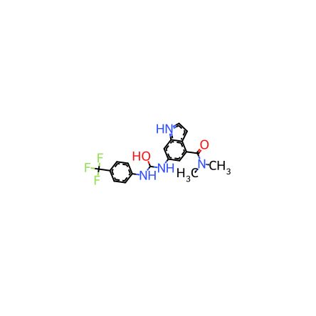 CN(C)C(=O)c1cc(NC(O)Nc2ccc(C(F)(F)F)cc2)cc2[nH]ccc12